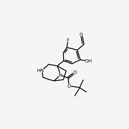 CC(C)(C)OC(=O)N1C2CCC1(c1cc(O)c(C=O)c(F)c1)CNC2